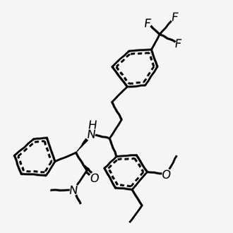 CCc1ccc(C(CCc2ccc(C(F)(F)F)cc2)N[C@@H](C(=O)N(C)C)c2ccccc2)cc1OC